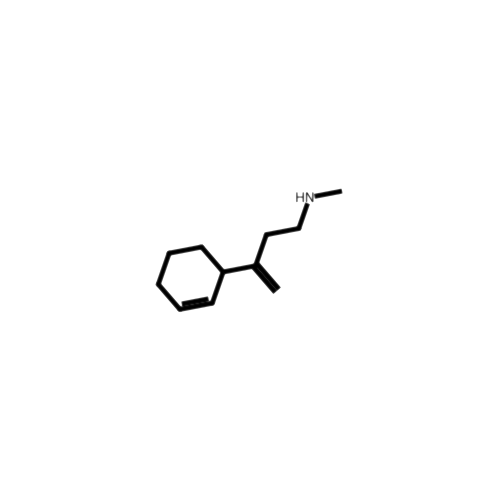 C=C(CCNC)C1C=CCCC1